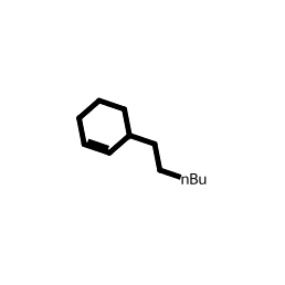 CCCCCC[C]1C=CCCC1